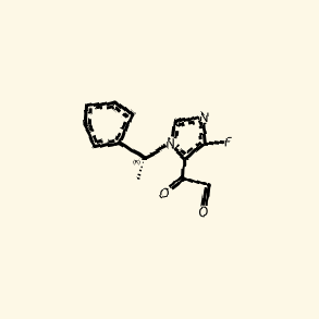 C[C@H](c1ccccc1)n1cnc(F)c1C(=O)C=O